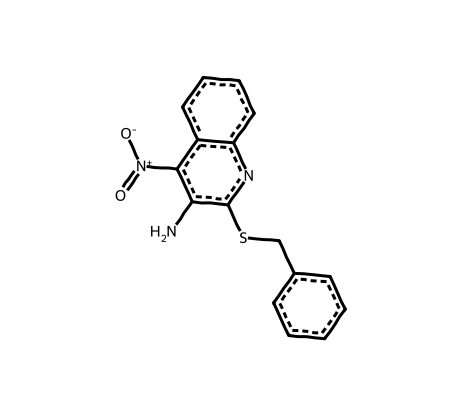 Nc1c(SCc2ccccc2)nc2ccccc2c1[N+](=O)[O-]